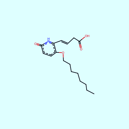 CCCCCCCCOc1ccc(=O)[nH]c1C=CCC(=O)O